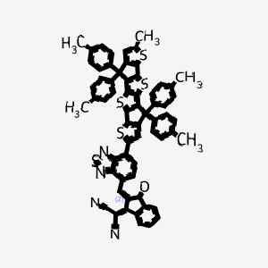 Cc1ccc(C2(c3ccc(C)cc3)c3cc(C)sc3-c3sc4c5c(sc4c32)-c2sc(-c3ccc(/C=C4\C(=O)c6ccccc6C4=C(C#N)C#N)c4nsnc34)cc2C5(c2ccc(C)cc2)c2ccc(C)cc2)cc1